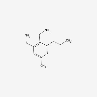 [CH2]CCc1cc(C)cc(CN)c1CN